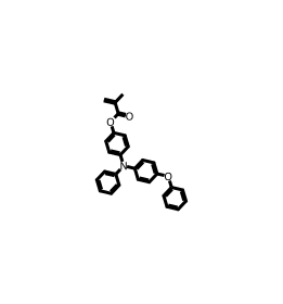 C=C(C)C(=O)Oc1ccc(N(c2ccccc2)c2ccc(Oc3ccccc3)cc2)cc1